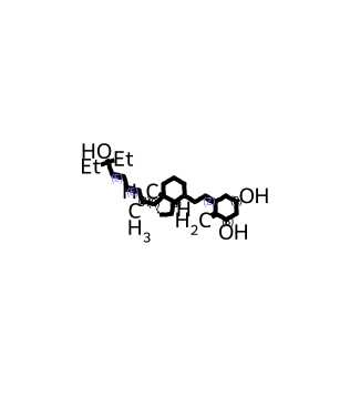 C=C1/C(=C\CC2CCCC3(C)[C@@H]([C@H](C)/C=C/C=C/C(O)(CC)CC)CC[C@@H]23)C[C@@H](O)C[C@@H]1O